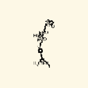 Cc1cc(C#Cc2ccc(OCCCNC(=O)C(CNC(=O)CCCC(=O)ON3C(=O)CCC3=O)S(=O)(=O)O)cc2)cc(CNCI)n1